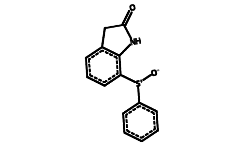 O=C1Cc2cccc([S+]([O-])c3ccccc3)c2N1